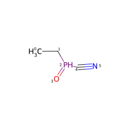 CC[PH](=O)C#N